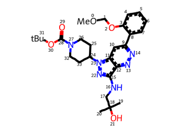 COCOc1ccccc1-c1cc2c(nn1)c(NCC(C)(C)O)nn2C1CCN(C(=O)OC(C)(C)C)CC1